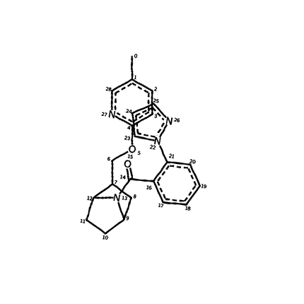 Cc1ccc(OCC2CC3CCC2N3C(=O)c2ccccc2-n2cccn2)nc1